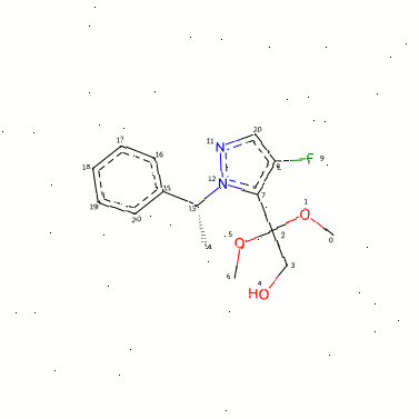 COC(CO)(OC)c1c(F)cnn1[C@H](C)c1ccccc1